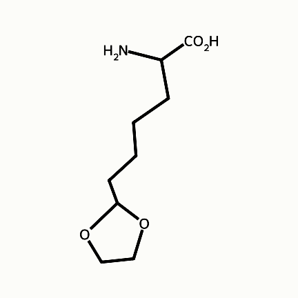 NC(CCCCC1OCCO1)C(=O)O